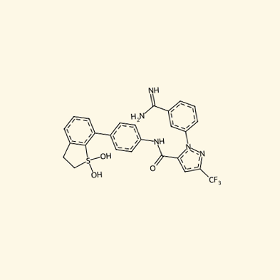 N=C(N)c1cccc(-n2nc(C(F)(F)F)cc2C(=O)Nc2ccc(-c3cccc4c3S(O)(O)CC4)cc2)c1